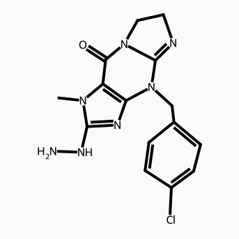 Cn1c(NN)nc2c1C(=O)N1CCN=C1N2Cc1ccc(Cl)cc1